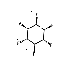 F[C@H]1[C@@H](F)[C@@H](F)[C@@H](F)[C@@H](F)[C@H]1F